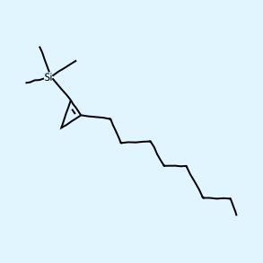 CCCCCCCCC1=C([Si](C)(C)C)C1